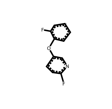 Fc1ccc(Oc2cc[c]cc2F)cn1